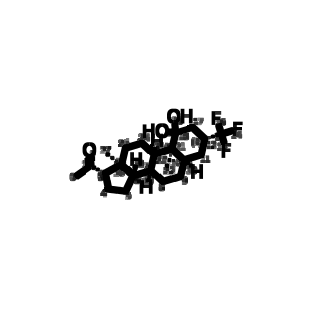 CC(=O)[C@H]1CC[C@H]2[C@@H]3CC[C@@H]4C[C@@H](C(F)(F)F)CC(O)(O)[C@]4(C)[C@H]3CC[C@]12C